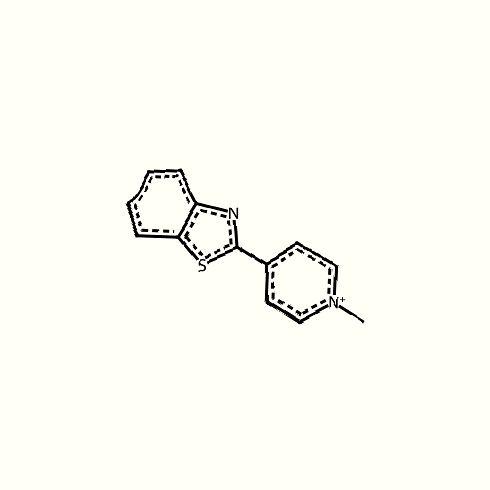 C[n+]1ccc(-c2nc3ccccc3s2)cc1